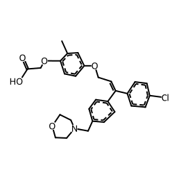 Cc1cc(OC/C=C(/c2ccc(Cl)cc2)c2ccc(CN3CCOCC3)cc2)ccc1OCC(=O)O